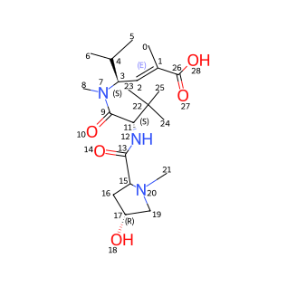 C/C(=C\[C@H](C(C)C)N(C)C(=O)[C@@H](NC(=O)C1C[C@@H](O)CN1C)C(C)(C)C)C(=O)O